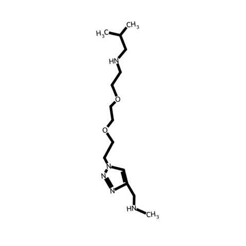 CNCc1cn(CCOCCOCCNCC(C)C)nn1